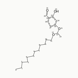 CCCCCCCCCCCCOC(C)Oc1ccc(C=O)c(O)c1